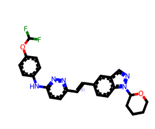 FC(F)Oc1ccc(Nc2ccc(/C=C/c3ccc4c(cnn4C4CCCCO4)c3)nn2)cc1